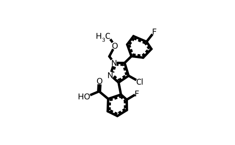 COCn1nc(-c2c(F)cccc2C(=O)O)c(Cl)c1-c1ccc(F)cc1